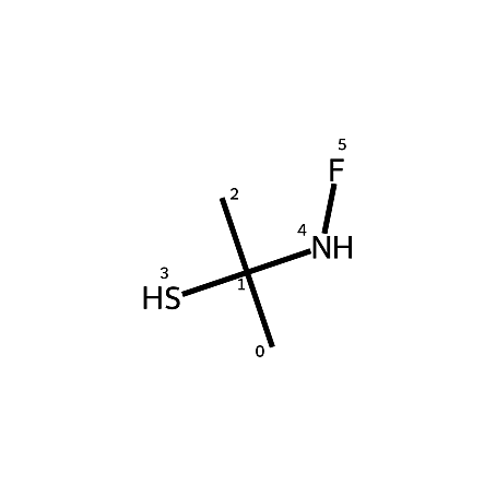 CC(C)(S)NF